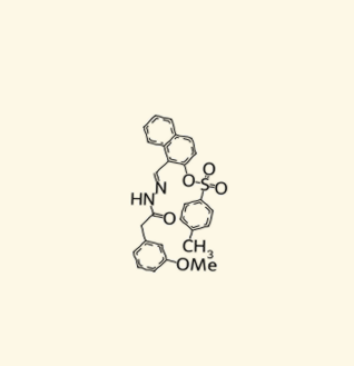 COc1cccc(CC(=O)NN=Cc2c(OS(=O)(=O)c3ccc(C)cc3)ccc3ccccc23)c1